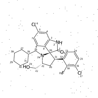 O=C1Nc2cc(Cl)ccc2[C@@]12[C@@H](c1cccc(Cl)c1F)C[C@H](CO)N2CC1CCCCC1